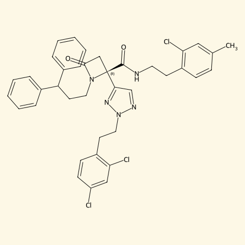 Cc1ccc(CCNC(=O)[C@]2(c3cnn(CCc4ccc(Cl)cc4Cl)n3)CC(=O)N2CCC(c2ccccc2)c2ccccc2)c(Cl)c1